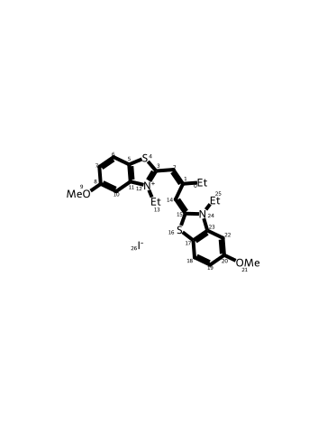 CCC(=Cc1sc2ccc(OC)cc2[n+]1CC)C=C1Sc2ccc(OC)cc2N1CC.[I-]